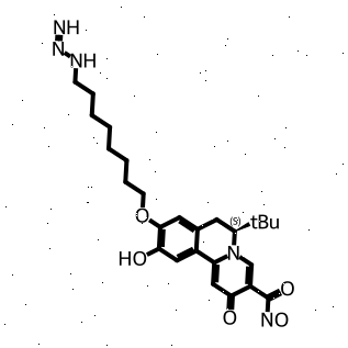 CC(C)(C)[C@@H]1Cc2cc(OCCCCCCCCNN=N)c(O)cc2-c2cc(=O)c(C(=O)N=O)cn21